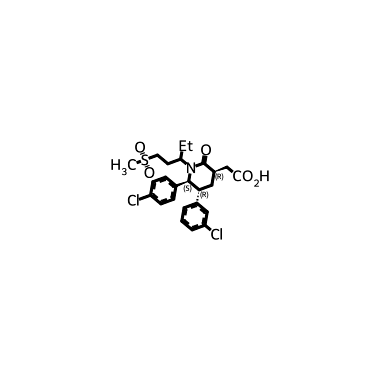 CCC(CCS(C)(=O)=O)N1C(=O)[C@@H](CC(=O)O)C[C@H](c2cccc(Cl)c2)[C@H]1c1ccc(Cl)cc1